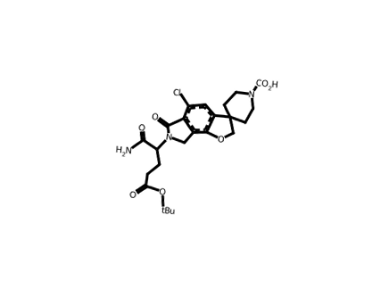 CC(C)(C)OC(=O)CCC(C(N)=O)N1Cc2c3c(cc(Cl)c2C1=O)C1(CCN(C(=O)O)CC1)CO3